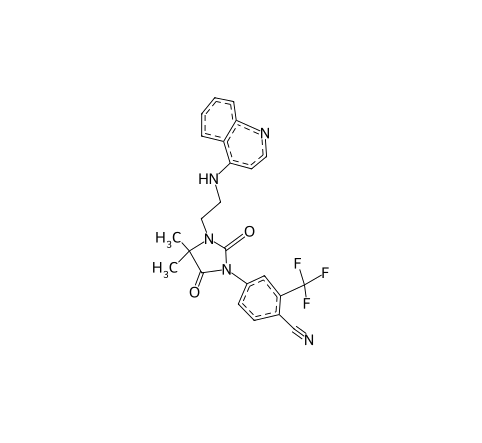 CC1(C)C(=O)N(c2ccc(C#N)c(C(F)(F)F)c2)C(=O)N1CCNc1ccnc2ccccc12